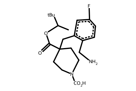 CC(OC(=O)C1(Cc2cc(F)ccc2CN)CCN(C(=O)O)CC1)C(C)(C)C